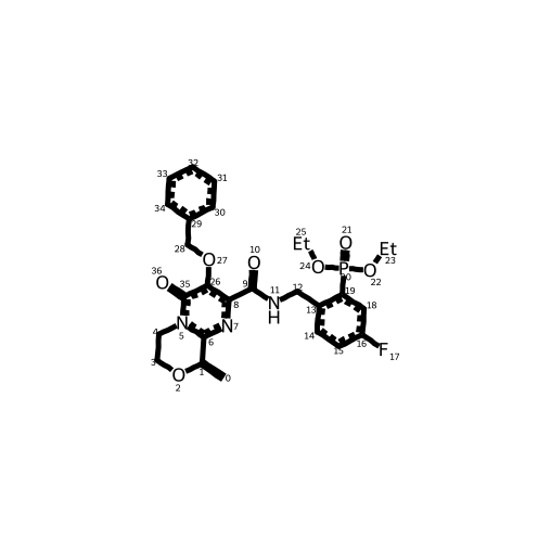 C=C1OCCn2c1nc(C(=O)NCc1ccc(F)cc1P(=O)(OCC)OCC)c(OCc1ccccc1)c2=O